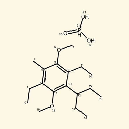 CCc1c(C)c(OC)c(CC)c(C(CC)CC)c1OC.O=[PH](O)O